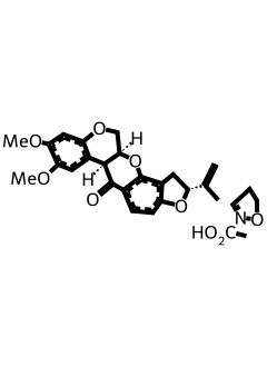 C1=NOCC1.C=C(C)[C@H]1Cc2c(ccc3c2O[C@@H]2COc4cc(OC)c(OC)cc4[C@@H]2C3=O)O1.CC(=O)O